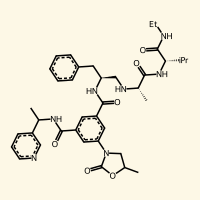 CCNC(=O)[C@@H](NC(=O)[C@H](C)NC[C@H](Cc1ccccc1)NC(=O)c1cc(C(=O)NC(C)c2cccnc2)cc(N2CC(C)OC2=O)c1)C(C)C